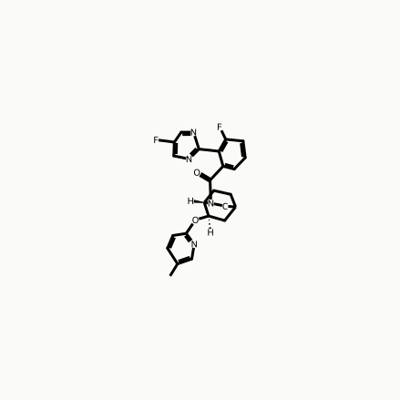 Cc1ccc(O[C@@H]2CC3CC[C@@H]2N(C(=O)c2cccc(F)c2-c2ncc(F)cn2)C3)nc1